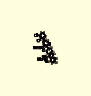 COC(=O)c1nc(-c2cccc(Cl)c2Cl)cnc1N1CCC2(CC1)Cc1ccccc1[C@H]2N[S@+]([O-])C(C)(C)C